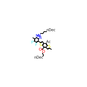 CCCCCCCCCCCCCCn1nc2c(C)c(F)c(F)c(-c3cc4c(C(C)=O)c5sc(C)cc5c(C(=O)OCCCCCCCCCCCC)c4s3)c2n1